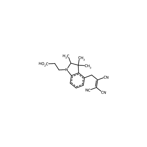 CC1N(CCC(=O)O)c2cccc(CC(C#N)=C(C#N)C#N)c2C1(C)C